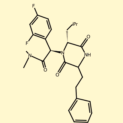 CC(C)C[C@@H]1C(=O)NC(CCc2ccccc2)C(=O)N1[C@@H](C(=O)N(C)C)c1ccc(F)cc1F